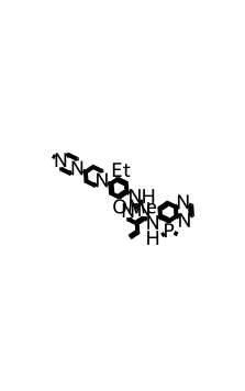 C=Cc1cnc(Nc2cc(CC)c(N3CCC(N4CCN(C)CC4)CC3)cc2OC)nc1Nc1ccc2nccnc2c1P(C)C